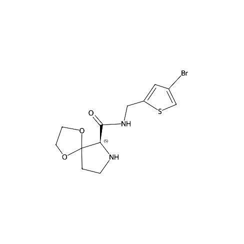 O=C(NCc1cc(Br)cs1)[C@H]1NCCC12OCCO2